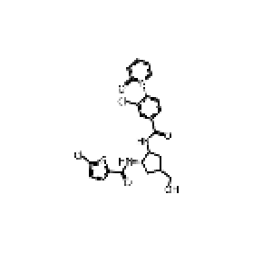 O=C(NC1CC(CO)C[C@H]1NC(=O)c1ccc(Cl)s1)c1ccc(-n2ccccc2=O)c(Cl)c1